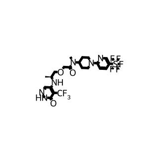 C[C@@H](COCC(=O)N(C)C1CCN(c2ccc(S(F)(F)(F)(F)F)cn2)CC1)Nc1cn[nH]c(=O)c1C(F)(F)F